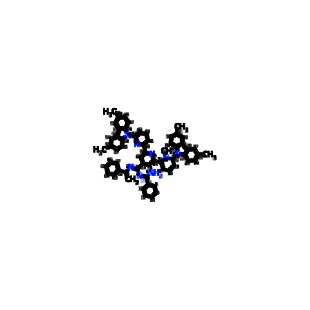 C=C(/N=C(\N=C(/N)c1ccccc1)c1cc(C2=CC=CC(n3c4ccc(C)cc4c4cc(C)ccc43)N2C)nc(-c2cccc(-n3c4ccc(C)cc4c4cc(C)ccc43)n2)c1)c1ccccc1